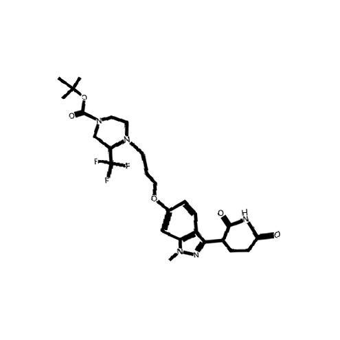 Cn1nc(C2CCC(=O)NC2=O)c2ccc(OCCCN3CCN(C(=O)OC(C)(C)C)CC3C(F)(F)F)cc21